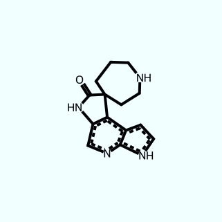 O=C1Nc2cnc3[nH]ccc3c2C12CCCNCC2